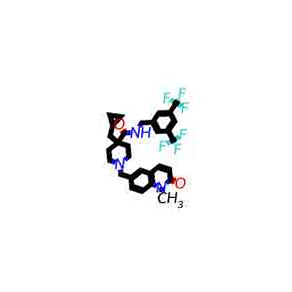 Cn1c(=O)ccc2cc(CN3CCC(CC4CC4)(C(=O)NCc4cc(C(F)(F)F)cc(C(F)(F)F)c4)CC3)ccc21